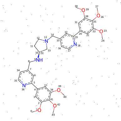 COc1cc(-c2cc(CN[C@H]3CCN(Cc4ccnc(-c5cc(OC)c(OC)c(OC)c5)c4)C3)ccn2)cc(OC)c1OC